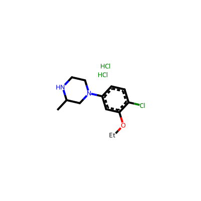 CCOc1cc(N2CCNC(C)C2)ccc1Cl.Cl.Cl